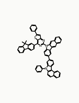 CC1(C)c2ccccc2-c2ccc(-c3nc(-n4c5ccc(-c6ccc7c8c9ccccc9ccc8n(-c8ccccc8)c7c6)cc5c5cc6ccccc6cc54)nc4cc(-c5ccccc5)sc34)cc21